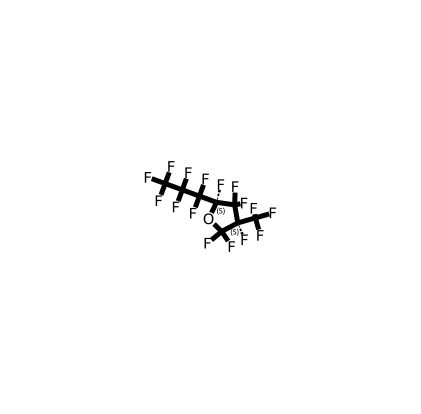 FC(F)(F)C(F)(F)C(F)(F)[C@]1(F)OC(F)(F)[C@](F)(C(F)(F)F)C1(F)F